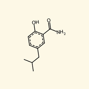 CC(C)Cc1ccc(O)c(C(N)=O)c1